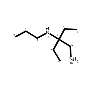 CCCNC(CC)(CC)CN